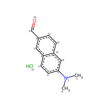 CN(C)c1ccc2cc(C=O)ccc2c1.Cl